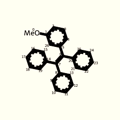 COc1cccc(C(=C(c2ccccc2)c2ccccc2)c2ccccc2)c1